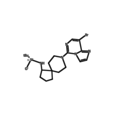 CC(C)(C)[S@@+]([O-])NC1CCCC12CCN(c1ncc(Br)c3nccn13)CC2